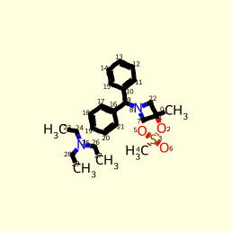 CC1(OS(C)(=O)=O)CN(C(c2ccccc2)c2ccccc2)C1.CCN(CC)CC